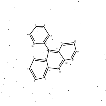 c1ccc(-c2c3ccccc3nc3ccccc23)nc1